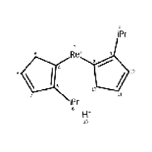 CC(C)C1=[C]([Re+][C]2=C(C(C)C)C=CC2)CC=C1.[H-]